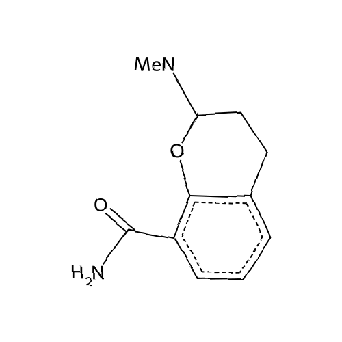 CNC1CCc2cccc(C(N)=O)c2O1